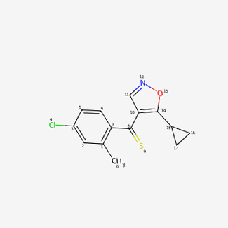 Cc1cc(Cl)ccc1C(=S)c1cnoc1C1CC1